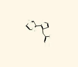 O/C=C(\F)Cc1ccsc1-c1cnccn1